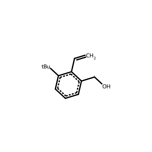 C=Cc1c([CH]O)cccc1C(C)(C)C